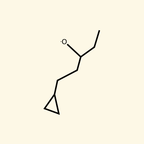 CCC([O])CCC1CC1